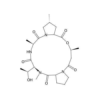 C[C@@H]1CC2C(=O)O[C@@H](C)CC(=O)N3CCCC3C(=O)N(C)[C@@H]([C@H](C)O)C(=O)N[C@@H](C)C(=O)N2C1